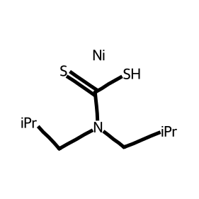 CC(C)CN(CC(C)C)C(=S)S.[Ni]